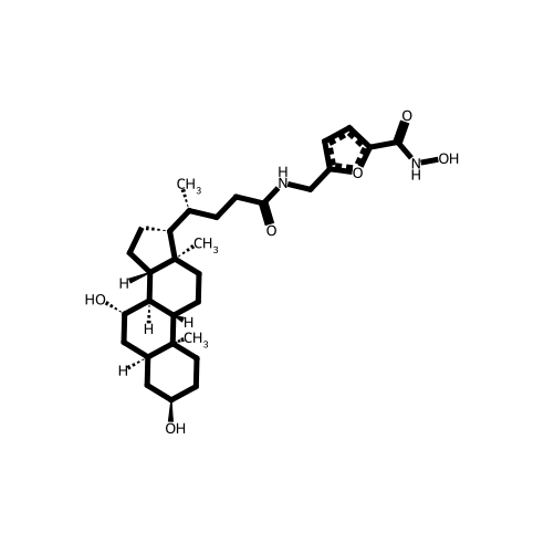 C[C@H](CCC(=O)NCc1ccc(C(=O)NO)o1)[C@H]1CC[C@H]2[C@@H]3[C@@H](O)C[C@@H]4C[C@H](O)CC[C@]4(C)[C@H]3CC[C@]12C